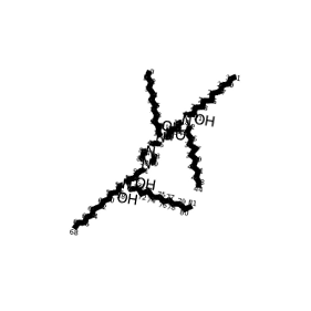 CCCCCCCCCCC(O)CN(CCCCN(CC(O)CCCCCCCCCC)CC(O)CCCCCCCCCC)CCN1CCN(CCCCN(CC(O)CCCCCCCCCC)CC(O)CCCCCCCCCC)CC1